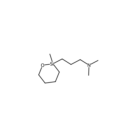 CN(C)CCC[Si]1(C)CCCCO1